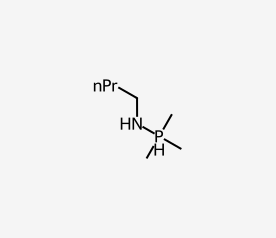 CCCCN[PH](C)(C)C